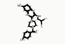 N#Cc1ccc2nc(NCC(F)F)c(N3CCN(C(=O)c4ccc(Cl)cc4)CC3)nc2c1